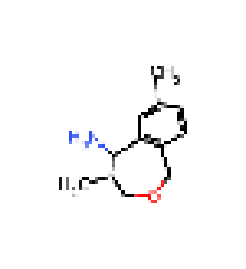 Cc1ccc2c(c1)[C@H](N)[C@H](C)COC2